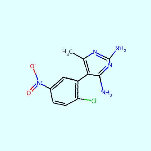 Cc1nc(N)nc(N)c1-c1cc([N+](=O)[O-])ccc1Cl